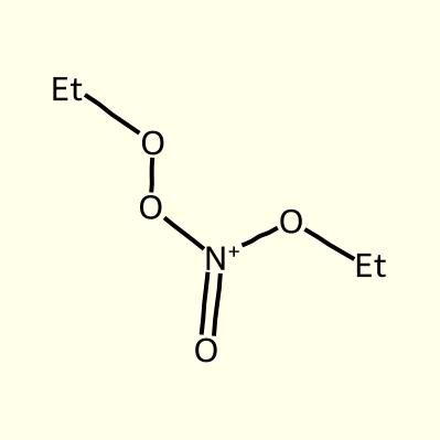 CCOO[N+](=O)OCC